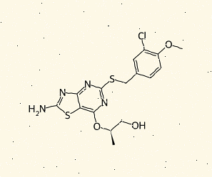 COc1ccc(CSc2nc(O[C@H](C)CO)c3sc(N)nc3n2)cc1Cl